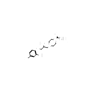 NC(=O)N1CCN(CC(O)COc2ccc(Cl)cc2Cl)CC1